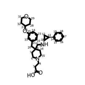 O=C(O)CCN1CCC(CN[C@@H]2C[C@H]2c2ccccc2)(Cc2cccc(OC3CCOCC3)c2)CC1